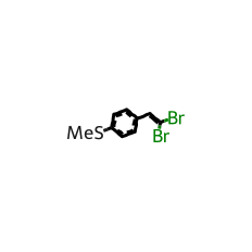 CSc1ccc(C=C(Br)Br)cc1